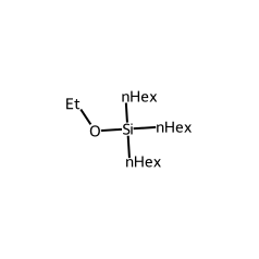 CCCCCC[Si](CCCCCC)(CCCCCC)OCC